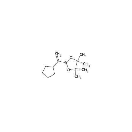 C=C(B1OC(C)(C)C(C)(C)O1)C1CCCC1